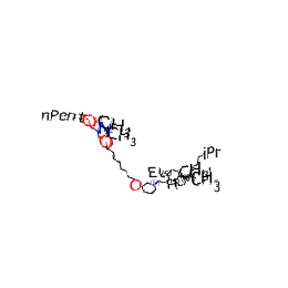 CCCCCOCC(COCCCCCCCCOC1CCC/C(=C\CC2[C@@H](CC)CCC3(C)[C@@H]([C@H](C)CCCC(C)C)CC[C@@H]23)C1)N(C)C